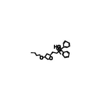 CCCCO[C@@H]1CO[C@H](CCC(C)(C)[Si](O)(c2ccccc2)c2ccccc2)C1